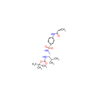 C=CC(=O)Nc1ccc(S(=O)(=O)NC[C@@H](NC(=O)OC(C)(C)C)C(C)C)cc1